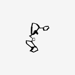 Cc1c(COC2CCc3ccccc32)cccc1-c1ccccc1